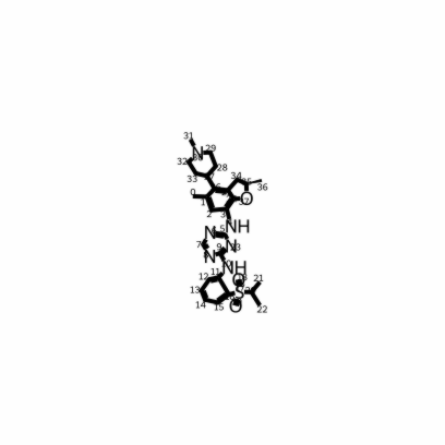 Cc1cc(Nc2ncnc(Nc3ccccc3S(=O)(=O)C(C)C)n2)c2c(c1C1CCN(C)CC1)C[C@@H](C)O2